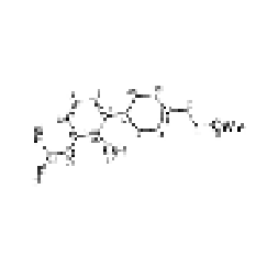 COCCN1CCC(c2cccc(OC(F)F)c2O)CC1